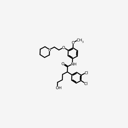 COc1ccc(NC(=O)C(CCCO)c2ccc(Cl)c(Cl)c2)cc1OCCN1CCCCC1